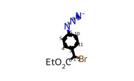 CCOC(=O)C(Br)c1ccc(N=[N+]=[N-])cc1